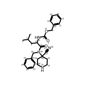 CC(C)CC(NC(=O)OCc1ccccc1)C(=O)N(Cc1ccccc1)C1(C#N)CCNCC1